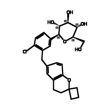 OC[C@H]1O[C@@H](c2ccc(Cl)c(Cc3ccc4c(c3)CCC3(CCC3)O4)c2)[C@H](O)[C@@H](O)[C@@H]1O